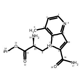 Cc1ccnc2c1[SH](C[C@H](N)C(=O)OC(C)C)C(C(N)=O)=C2